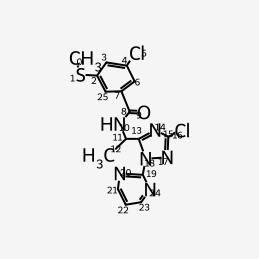 CSc1cc(Cl)cc(C(=O)NC(C)c2nc(Cl)nn2-c2ncccn2)c1